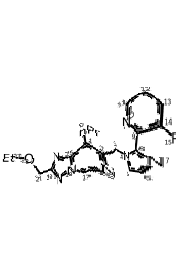 CCCc1c(Cn2ccnc2-c2ncccc2F)ncn2nc(COCC)nc12